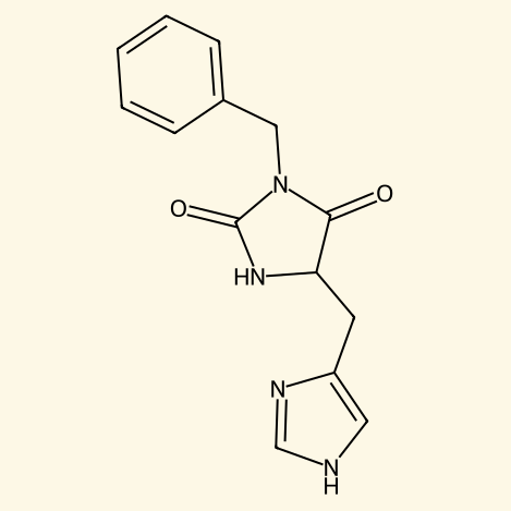 O=C1NC(Cc2c[nH]cn2)C(=O)N1Cc1ccccc1